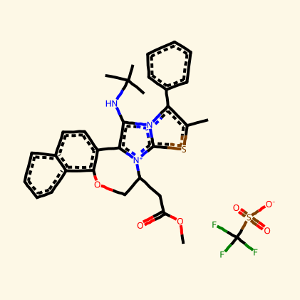 COC(=O)CC1COc2c(ccc3ccccc23)-c2c(NC(C)(C)C)n3c(-c4ccccc4)c(C)sc3[n+]21.O=S(=O)([O-])C(F)(F)F